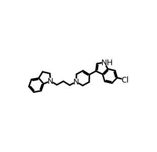 Clc1ccc2c(C3=CCN(CCCN4CCc5ccccc54)CC3)c[nH]c2c1